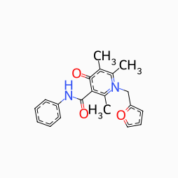 Cc1c(C)n(Cc2ccco2)c(C)c(C(=O)Nc2ccccc2)c1=O